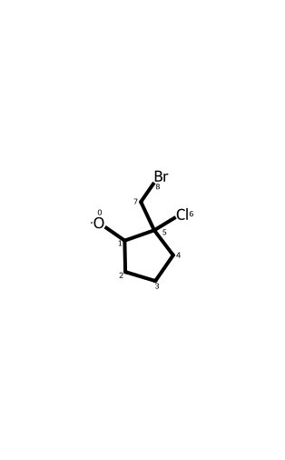 [O]C1CCCC1(Cl)CBr